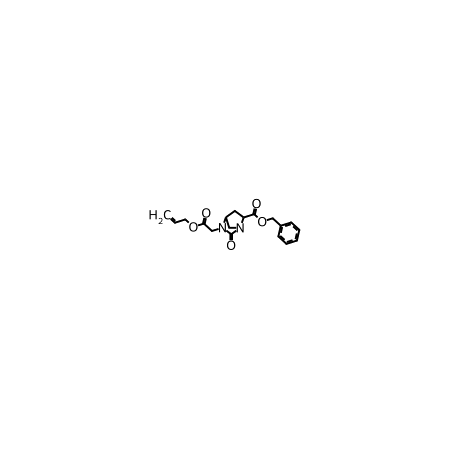 C=CCOC(=O)CN1C(=O)N2CC1CC2C(=O)OCc1ccccc1